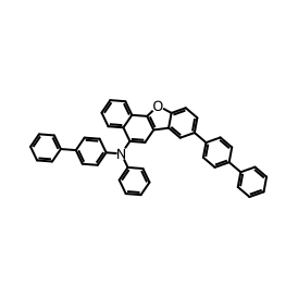 c1ccc(-c2ccc(-c3ccc4oc5c6ccccc6c(N(c6ccccc6)c6ccc(-c7ccccc7)cc6)cc5c4c3)cc2)cc1